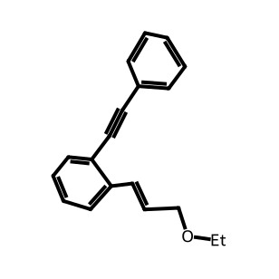 CCOC/C=C/c1ccccc1C#Cc1ccccc1